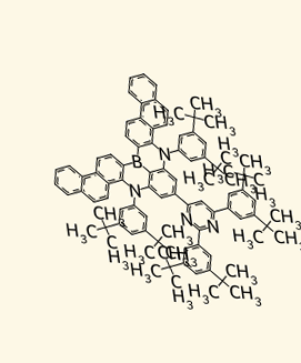 CC(C)(C)c1cc(-c2cc(-c3cc4c5c(c3)N(c3cc(C(C)(C)C)cc(C(C)(C)C)c3)c3c(ccc6c3ccc3ccccc36)B5c3ccc5c(ccc6ccccc65)c3N4c3cc(C(C)(C)C)cc(C(C)(C)C)c3)nc(-c3cc(C(C)(C)C)cc(C(C)(C)C)c3)n2)cc(C(C)(C)C)c1